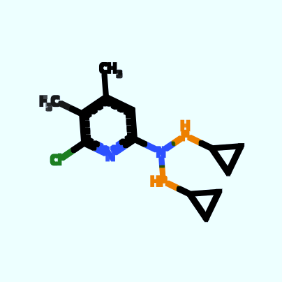 Cc1cc(N(PC2CC2)PC2CC2)nc(Cl)c1C(F)(F)F